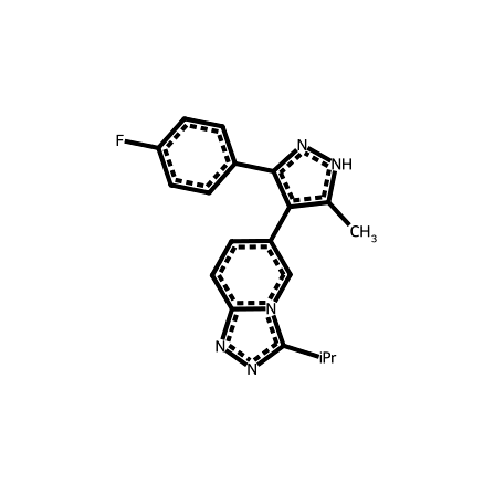 Cc1[nH]nc(-c2ccc(F)cc2)c1-c1ccc2nnc(C(C)C)n2c1